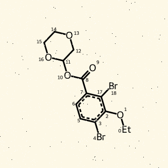 CCOc1c(Br)ccc(C(=O)OC2COCCO2)c1Br